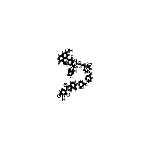 C#Cc1c(F)ccc2cc(O)cc(-c3ncc4c(N5CC6CCC(C5)N6)nc(OCCN5CCN(CC6CCN(CC7CCN(c8ccc9c(c8F)CN(C8CCC(=O)NC8=O)C9=O)CC7)CC6)CC5(C)C)nc4c3F)c12